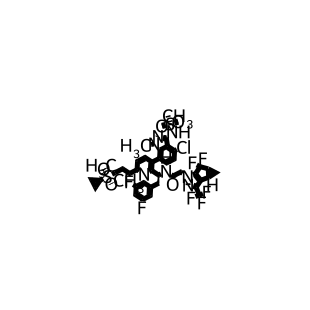 Cn1nc(NS(C)(=O)=O)c2c(Cl)ccc(-c3ccc(CCC(C)(C)S(=O)(=O)C4CC4)nc3[C@H](Cc3cc(F)cc(F)c3)NC(=O)Cn3nc(C(F)(F)F)c4c3C(F)(F)C3C[C@H]43)c21